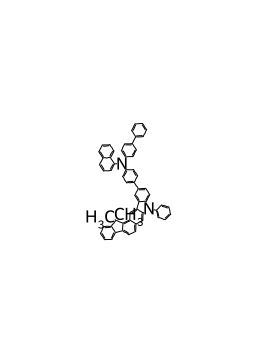 CC1(C)c2ccccc2-c2ccc3cc4c(cc3c21)c1cc(-c2ccc(N(c3ccc(-c5ccccc5)cc3)c3cccc5ccccc35)cc2)ccc1n4-c1ccccc1